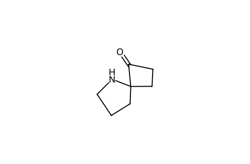 O=C1CCC12CCCN2